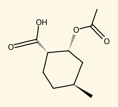 CC(=O)O[C@@H]1C[C@@H](C)CC[C@@H]1C(=O)O